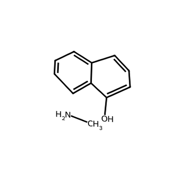 CN.Oc1cccc2ccccc12